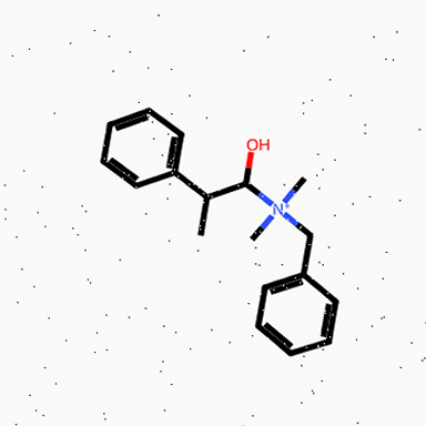 CC(c1ccccc1)C(O)[N+](C)(C)Cc1ccccc1